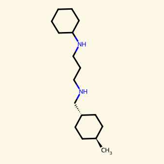 C[C@H]1CC[C@H](CNCCCNC2CCCCC2)CC1